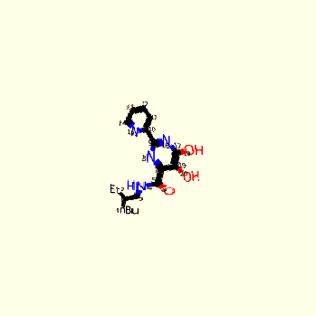 CCCCC(CC)CNC(=O)c1nc(-c2ccccn2)nc(O)c1O